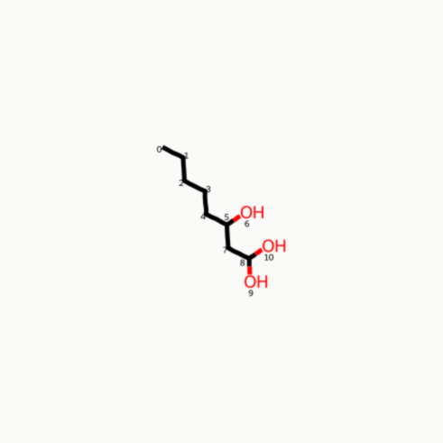 CCCCCC(O)CC(O)O